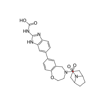 O=C1CC2CCC(C1)N2C(=O)N1CCOc2ccc(-c3ccc4nc(NC(=O)O)[nH]c4c3)cc2C1